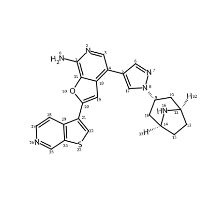 Nc1ncc(-c2cnn([C@@H]3C[C@H]4CC[C@@H](C3)N4)c2)c2cc(-c3csc4cnccc34)oc12